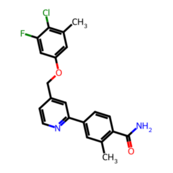 Cc1cc(-c2cc(COc3cc(C)c(Cl)c(F)c3)ccn2)ccc1C(N)=O